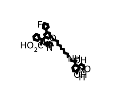 O=C(O)N(C(c1ccccc1)c1cc(OCCCCCCCCCNCC(O)c2ccc(O)c3[nH]c(=O)ccc23)cc(-c2cccc(F)c2)c1)C1CN2CCC1CC2